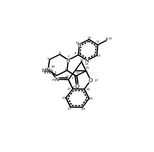 O=C(C1CNCCN1c1ncc(F)cn1)C12CC1C(=NO)c1ccccc1O2